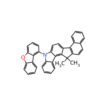 CC1(C)c2ccc3ccccc3c2-c2ccc3c(c21)c1ccccc1n3-c1cccc2oc3ccccc3c12